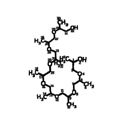 CC(O)COC(C)COC(C)COC(C)COC(C)COC(C)COC(C)COC(C)CO